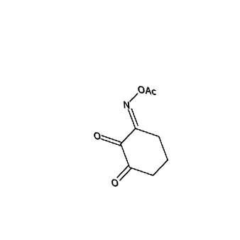 CC(=O)ON=C1CCCC(=O)C1=O